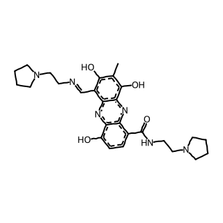 Cc1c(O)c(C=NCCN2CCCC2)c2nc3c(O)ccc(C(=O)NCCN4CCCC4)c3nc2c1O